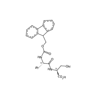 CC(C)[C@H](NC(=O)OCC1c2ccccc2-c2ccccc21)C(=O)N[C@@H](CO)C(=O)O